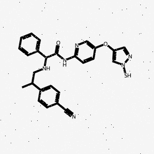 CC(CNC(C(=O)Nc1ccc(Oc2cnn(S)c2)cn1)c1ccccc1)c1ccc(C#N)cc1